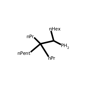 CCCCCCC(P)C(CCC)(CCC)CCCCC